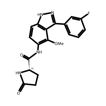 COc1c(NC(=O)[C@@H]2CCC(=O)N2)ccc2[nH]nc(-c3cccc(F)c3)c12